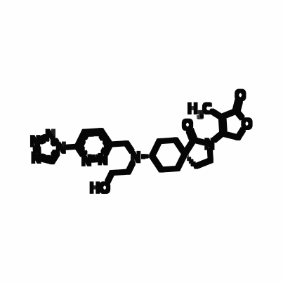 CC1=C(N2CC[C@]3(CC[C@@H](N(CCO)Cc4ccc(-n5cnnn5)nn4)CC3)C2=O)COC1=O